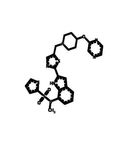 CN(c1cccc2cc(-c3ncc(CN4CCC(Oc5cnccn5)CC4)s3)[nH]c12)S(=O)(=O)c1cccs1